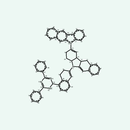 C1=C(N2C3=Cc4ccccc4CC3C3C=C(n4c5ccccc5c5cc6ccccc6cc54)CCC32)CCc2c1cccc2C1N=C(c2ccccc2)N=C(c2ccccc2)N1